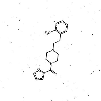 O=C(c1ccco1)N1CCN(CCc2ccccc2C(F)(F)F)CC1